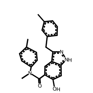 Cc1ccc(N(C)C(=O)c2cc3c(Cc4cccc(C)c4)n[nH]c3cc2O)cc1